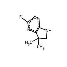 CC1(C)CNc2ccc(F)nc21